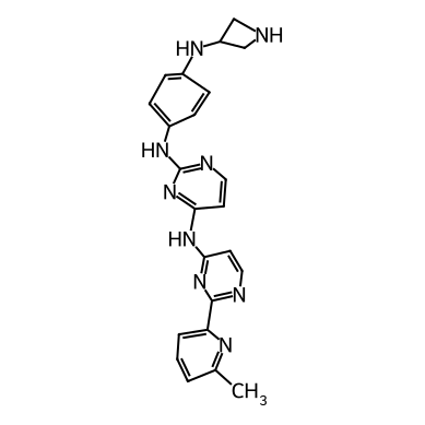 Cc1cccc(-c2nccc(Nc3ccnc(Nc4ccc(NC5CNC5)cc4)n3)n2)n1